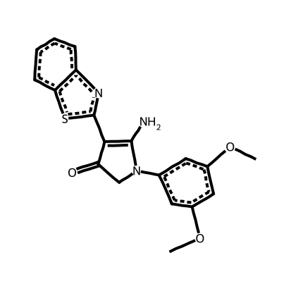 COc1cc(OC)cc(N2CC(=O)C(c3nc4ccccc4s3)=C2N)c1